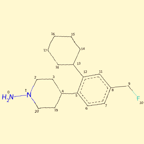 NN1CCC(c2ccc(CF)cc2C2CCCCC2)CC1